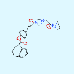 O=C(Oc1ccc(C=CC(=O)N2CCN(CC(=O)N3CCCC3)CC2)cc1)C1CCCc2ccccc21